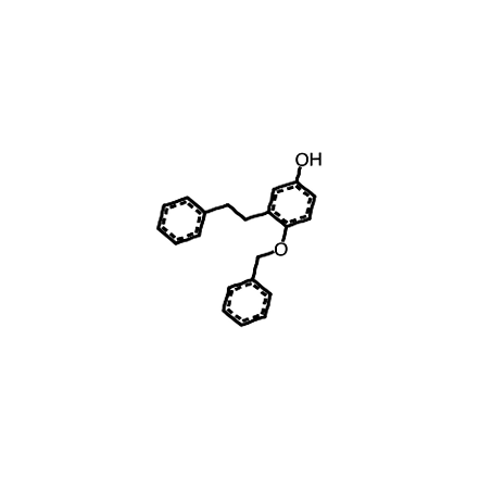 Oc1ccc(OCc2ccccc2)c(CCc2ccccc2)c1